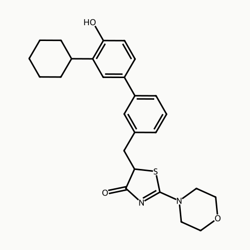 O=C1N=C(N2CCOCC2)SC1Cc1cccc(-c2ccc(O)c(C3CCCCC3)c2)c1